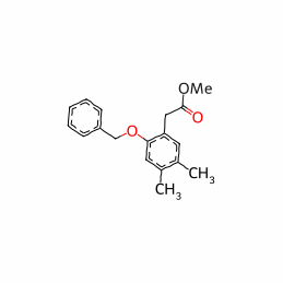 COC(=O)Cc1cc(C)c(C)cc1OCc1ccccc1